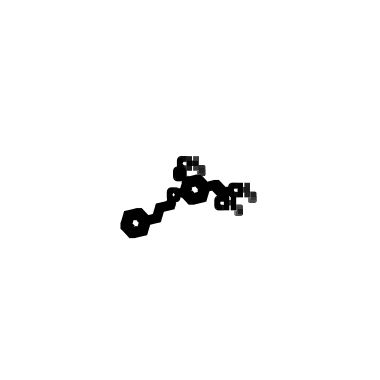 COc1cc(C=C(C)C)ccc1OCCCc1ccccc1